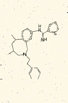 C/C=C\C(=C/C)CCN1Cc2cc(NC(=N)c3cccs3)ccc2C(C)CC(C)C1